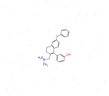 CN(C)CC1=C(c2cccc(O)c2)c2ccc(Oc3ccccc3)cc2CC1